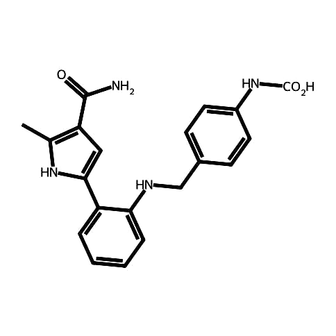 Cc1[nH]c(-c2ccccc2NCc2ccc(NC(=O)O)cc2)cc1C(N)=O